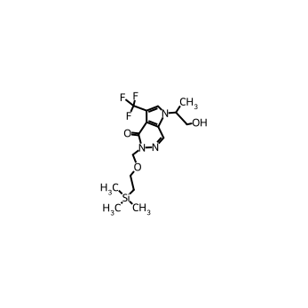 CC(CO)n1cc(C(F)(F)F)c2c(=O)n(COCC[Si](C)(C)C)ncc21